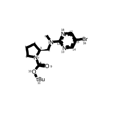 CN(C[C@@H]1CCCN1C(=O)OC(C)(C)C)c1ncc(Br)cn1